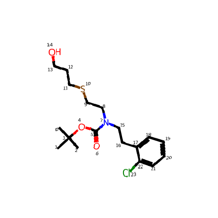 CC(C)(C)OC(=O)N(CCSCCCO)CCc1ccccc1Cl